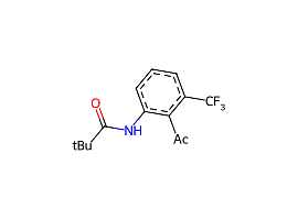 CC(=O)c1c(NC(=O)C(C)(C)C)cccc1C(F)(F)F